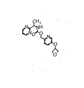 CC(NC(=O)OCc1ccc(OC2COC2)cn1)c1ncccn1